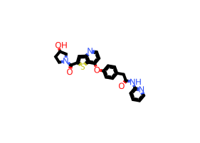 O=C(Cc1ccc(Oc2ccnc3cc(C(=O)N4CCC(O)C4)sc23)cc1)Nc1ccccn1